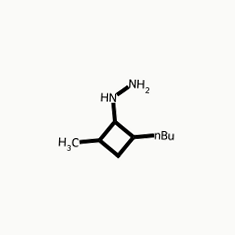 CCCCC1CC(C)C1NN